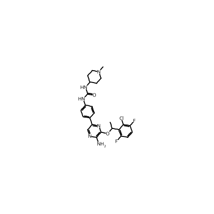 CC(Oc1nc(-c2ccc(NC(=O)NC3CCN(C)CC3)cc2)cnc1N)c1c(F)ccc(F)c1Cl